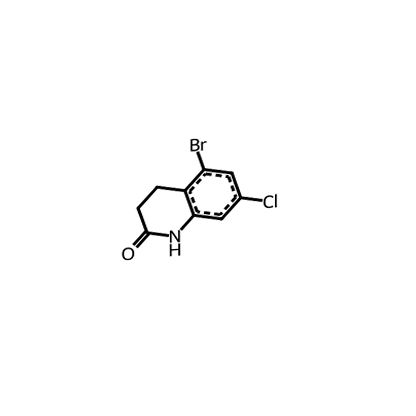 O=C1CCc2c(Br)cc(Cl)cc2N1